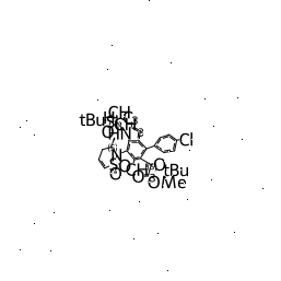 COC(=O)[C@@H](OC(C)(C)C)c1c(C)c(N2[C@H](CO[Si](C)(C)C(C)(C)C)CC=CS2(=O)=O)c2[nH]c(C)cc2c1-c1ccc(Cl)cc1